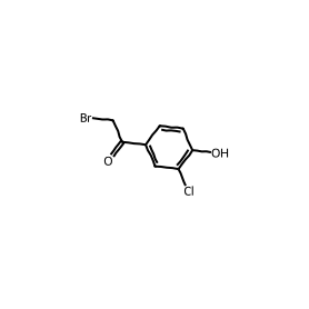 O=C(CBr)c1ccc(O)c(Cl)c1